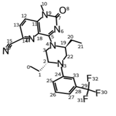 CC[C@@H]1CN(c2nc(=O)n(C)c3ccc(C#N)nc23)[C@@H](CC)CN1c1cccc(C(F)(F)F)c1